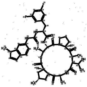 C[C@@H]1C[C@H]2C(=O)O[C@@H](C)[C@H](NC(=O)[C@H](Cc3cc(F)cc(F)c3)NC(=O)Nc3ccc4ccn(C)c4c3)C(=O)N3CCC[C@H]3C(=O)N(C)[C@@H]([C@H](C)O)C(=O)N[C@@H](C)C(=O)N2C1